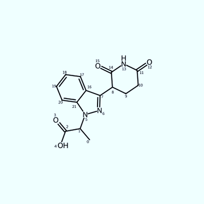 CC(C(=O)O)n1nc(C2CCC(=O)NC2=O)c2ccccc21